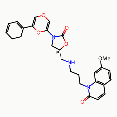 COc1ccc2ccc(=O)n(CCCNC[C@@H]3CN(C4=COC=C(C5=CC=CCC5)O4)C(=O)O3)c2c1